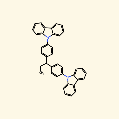 CCC(c1ccc(-n2c3ccccc3c3ccccc32)cc1)c1ccc(-n2c3ccccc3c3ccccc32)cc1